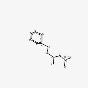 C[C@@H](CCc1ccccc1)CN(C)C